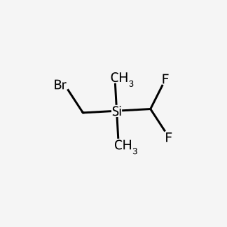 C[Si](C)(CBr)C(F)F